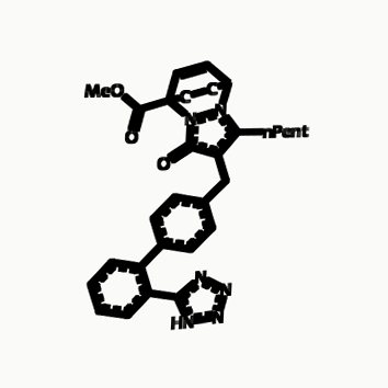 CCCCCc1c(Cc2ccc(-c3ccccc3-c3nnn[nH]3)cc2)c(=O)n2n1C1C=CC2(C(=O)OC)CC1